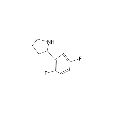 Fc1ccc(F)c(C2CC[CH]N2)c1